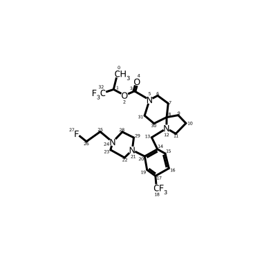 CC(OC(=O)N1CCC2(CCCN2Cc2ccc(C(F)(F)F)cc2N2CCN(CCF)CC2)CC1)C(F)(F)F